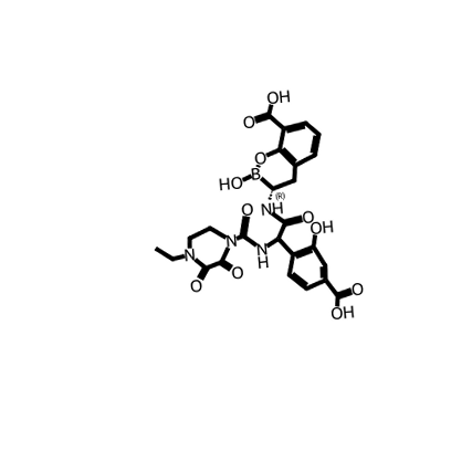 CCN1CCN(C(=O)NC(C(=O)N[C@H]2Cc3cccc(C(=O)O)c3OB2O)c2ccc(C(=O)O)cc2O)C(=O)C1=O